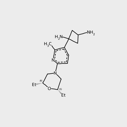 CC[C@@H]1CN(c2ccc(C3(N)CC(N)C3)c(C)n2)C[C@H](CC)O1